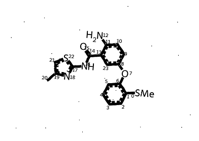 CSc1ccccc1Oc1ccc(N)c(C(=O)Nc2nc(C)cs2)c1